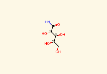 [NH]C(=O)[C@@H](O)[C@@H](O)[C@H](O)CO